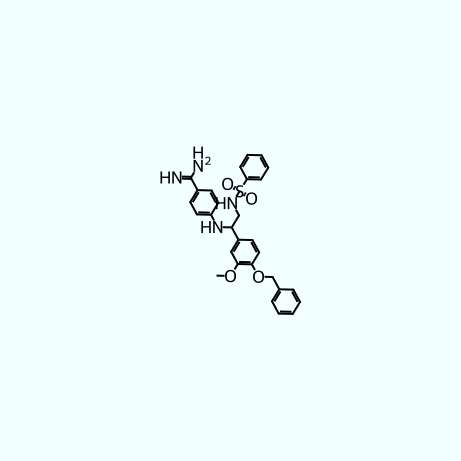 COc1cc(C(CNS(=O)(=O)c2ccccc2)Nc2ccc(C(=N)N)cc2)ccc1OCc1ccccc1